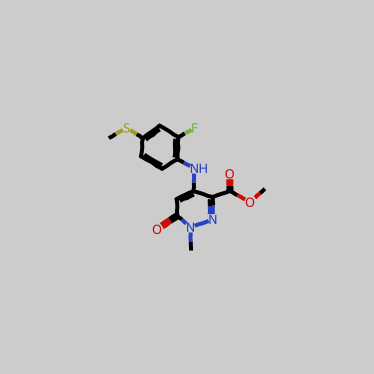 COC(=O)c1nn(C)c(=O)cc1Nc1ccc(SC)cc1F